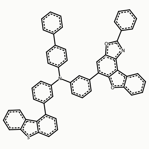 c1ccc(-c2ccc(N(c3cccc(-c4cc5oc(-c6ccccc6)nc5c5c4oc4ccccc45)c3)c3cccc(-c4cccc5sc6ccccc6c45)c3)cc2)cc1